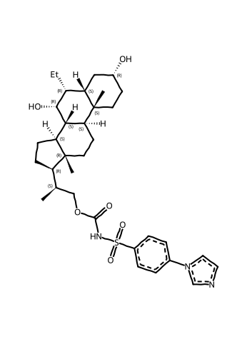 CC[C@H]1[C@@H](O)[C@@H]2[C@H](CC[C@]3(C)[C@@H]([C@H](C)COC(=O)NS(=O)(=O)c4ccc(-n5ccnc5)cc4)CC[C@@H]23)[C@@]2(C)CC[C@@H](O)C[C@@H]12